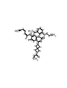 C#C/C=C\C=C(\F)Cc1nc2c(cc1F)c(C1CC3(C1)CN(C(=O)C=C)C3)nc(=O)n2-c1c(SCCN)ccnc1C(C)C